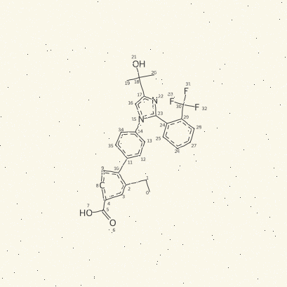 CCc1cc(C(=O)O)ccc1-c1ccc(-n2cc(C(C)(C)O)nc2-c2ccccc2C(F)(F)F)cc1